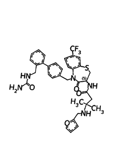 CC(C)(CC(=O)N[C@@H]1CSc2cc(C(F)(F)F)ccc2N(Cc2ccc(-c3ccccc3CNC(N)=O)cc2)C1=O)NCc1ccco1